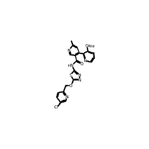 COc1cccnc1-c1cc(C)ncc1C(=O)Nc1nnc(OCc2ccc(Cl)cn2)s1